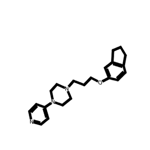 c1cc(N2CCN(CCCOc3ccc4c(c3)CCC4)CC2)ccn1